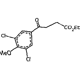 CCOC(=O)CCC(=O)c1cc(Cl)c(OC)c(Cl)c1